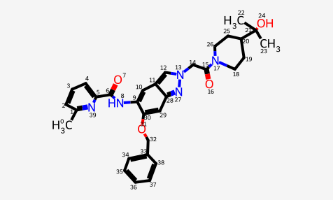 Cc1cccc(C(=O)Nc2cc3cn(CC(=O)N4CCC(C(C)(C)O)CC4)nc3cc2OCc2ccccc2)n1